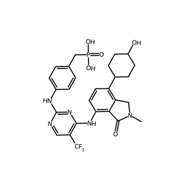 CN1Cc2c(C3CCC(O)CC3)ccc(Nc3nc(Nc4ccc(CP(=O)(O)O)cc4)ncc3C(F)(F)F)c2C1=O